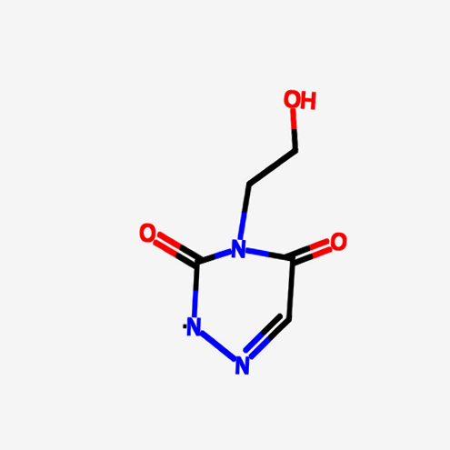 O=C1C=N[N]C(=O)N1CCO